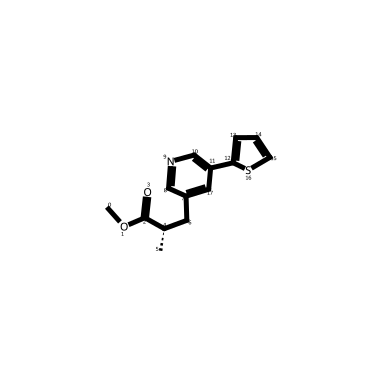 COC(=O)[C@@H](C)Cc1cncc(-c2cccs2)c1